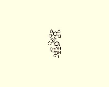 C=CC(=O)N[C@H]1CCOC[C@H]1Nc1ncc2c(n1)N(C1CCCC1)C(=S)N(c1c(Cl)c(OC)cc(OC)c1Cl)C2